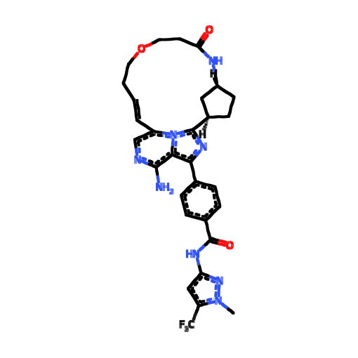 Cn1nc(NC(=O)c2ccc(-c3nc4n5c(cnc(N)c35)/C=C/CCOCCC(=O)N[C@@H]3CC[C@@H]4C3)cc2)cc1C(F)(F)F